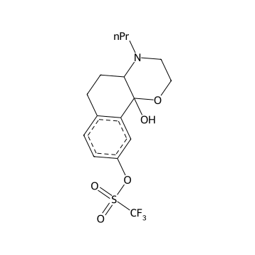 CCCN1CCOC2(O)c3cc(OS(=O)(=O)C(F)(F)F)ccc3CCC12